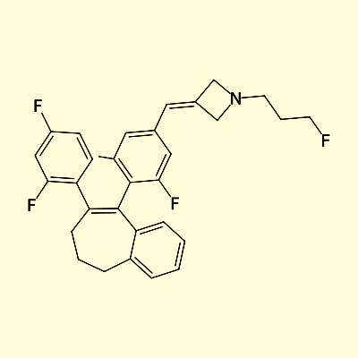 Cc1cc(C=C2CN(CCCF)C2)cc(F)c1C1=C(c2ccc(F)cc2F)CCCc2ccccc21